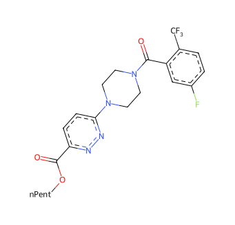 CCCCCOC(=O)c1ccc(N2CCN(C(=O)c3cc(F)ccc3C(F)(F)F)CC2)nn1